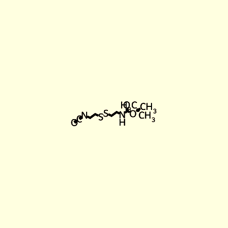 CC(C)(C)OC(=O)NCCSSCCN=C=O